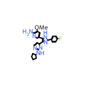 COc1cc(-c2[nH]c(-c3ccc(F)cc3)nc2-c2ccnc(NC3CCCC3)n2)cnc1N